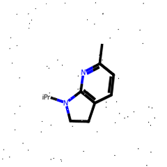 Cc1ccc2c(n1)N(C(C)C)CC2